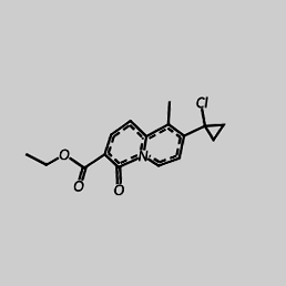 CCOC(=O)c1ccc2c(C)c(C3(Cl)CC3)ccn2c1=O